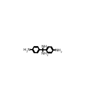 Nc1ccc(C(N)(N)c2ccc(N)cc2)cc1